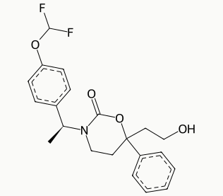 C[C@@H](c1ccc(OC(F)F)cc1)N1CCC(CCO)(c2ccccc2)OC1=O